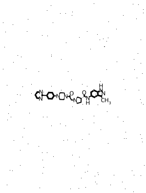 Cc1n[nH]c2ccc(NC(=O)[C@@H]3CCN(CC(=O)N4CCN(c5ccc(-c6ncccn6)cc5)CC4)C3)cc12